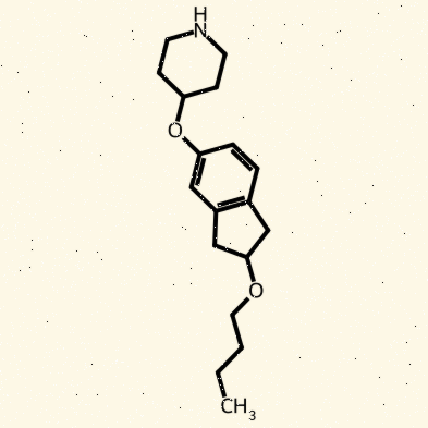 CCCCOC1Cc2ccc(OC3CCNCC3)cc2C1